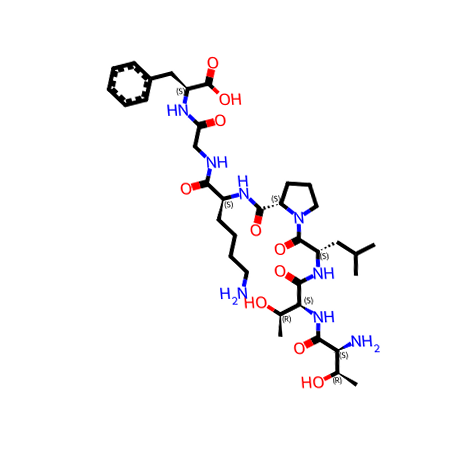 CC(C)C[C@H](NC(=O)[C@@H](NC(=O)[C@@H](N)[C@@H](C)O)[C@@H](C)O)C(=O)N1CCC[C@H]1C(=O)N[C@@H](CCCCN)C(=O)NCC(=O)N[C@@H](Cc1ccccc1)C(=O)O